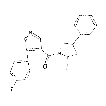 CC1CC(c2ccccc2)CN1C(=O)c1cnoc1-c1ccc(F)cc1